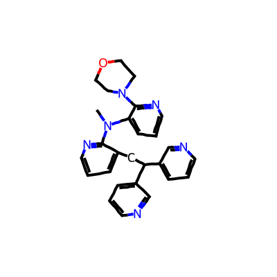 CN(c1cccnc1N1CCOCC1)c1ncccc1CC(c1cccnc1)c1cccnc1